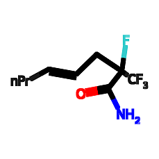 CCCC=CCC(F)(C(N)=O)C(F)(F)F